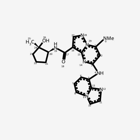 CNc1cc(Nc2cccn3ccnc23)nc2c(C(=O)N[C@H]3CCC[C@]3(C)O)cnn12